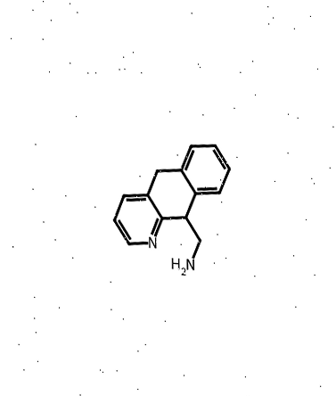 NCC1c2ccccc2Cc2cccnc21